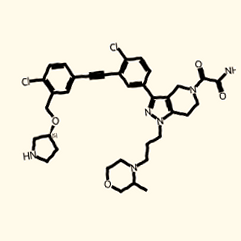 CC1COCCN1CCCn1nc(-c2ccc(Cl)c(C#Cc3ccc(Cl)c(CO[C@H]4CCNC4)c3)c2)c2c1CCN(C(=O)C(N)=O)C2